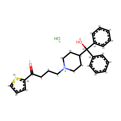 Cl.O=C(CCCN1CCC(C(O)(c2ccccc2)c2ccccc2)CC1)c1cccs1